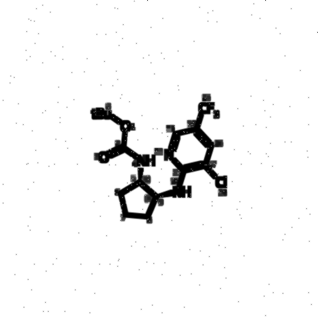 CC(C)(C)OC(=O)N[C@H]1CCC[C@@H]1Nc1ncc(C(F)(F)F)cc1Cl